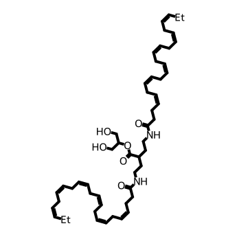 CC/C=C\C/C=C\C/C=C\C/C=C\C/C=C\C/C=C\CCC(=O)NCCC(CCNC(=O)CC/C=C\C/C=C\C/C=C\C/C=C\C/C=C\C/C=C\CC)C(=O)OC(CO)CO